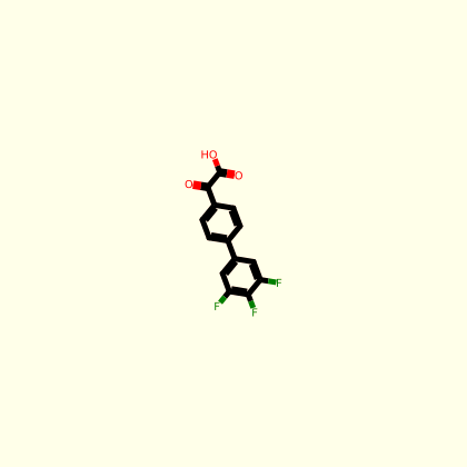 O=C(O)C(=O)c1ccc(-c2cc(F)c(F)c(F)c2)cc1